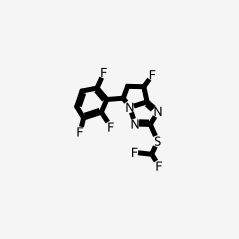 Fc1ccc(F)c(C2CC(F)c3nc(SC(F)F)nn32)c1F